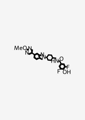 COc1ncc(-c2ccc3cn(C4CCC(CNC(=O)c5cc(F)c(O)c(F)c5)CC4)nc3c2)cn1